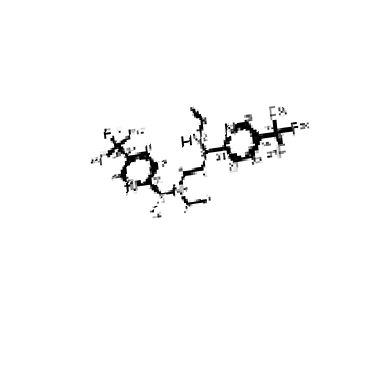 CCN[C@H](CCN(CC)[C@H](C)c1ccc(C(F)(F)F)cn1)c1ccc(C(F)(F)F)cn1